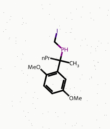 CCCC(C)(PCI)c1cc(OC)ccc1OC